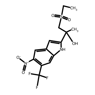 CCS(=O)(=O)CC(C)(O)c1cc2cc([N+](=O)[O-])c(C(F)(F)F)cc2[nH]1